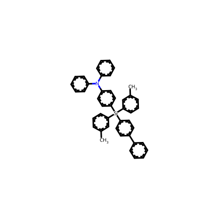 Cc1cccc([Si](c2ccc(-c3ccccc3)cc2)(c2ccc(N(c3ccccc3)c3ccccc3)cc2)c2cccc(C)c2)c1